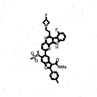 CNC(=O)c1c(-c2ccc(C)cc2)oc2cc(N(C)S(C)(=O)=O)c(-c3ccc4nc(CCN5CC(F)C5)c5c([nH]c6cccc(F)c65)c4n3)cc12